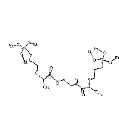 CCO[Si](CCCSC(C)C(=O)NCCNC(=O)C(C)SCCC[Si](OCC)(OCC)OCC)(OCC)OCC